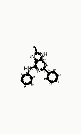 Cc1nc2c(Nc3ccccc3)nc(-c3ccccc3)nc2[nH]1